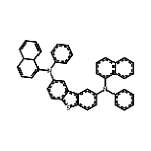 C1=CC2C=CC=C(N(c3ccccc3)c3ccc4sc5ccc(N(c6ccccc6)c6cccc7ccccc67)cc5c4c3)C2C=C1